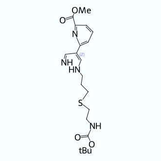 COC(=O)c1cccc(/C(C=N)=C/NCCCSCCNC(=O)OC(C)(C)C)n1